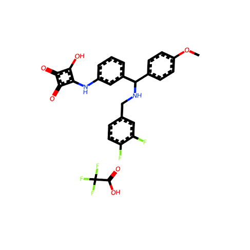 COc1ccc(C(NCc2ccc(F)c(F)c2)c2cccc(Nc3c(O)c(=O)c3=O)c2)cc1.O=C(O)C(F)(F)F